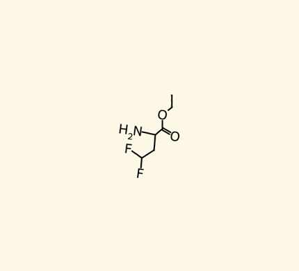 CCOC(=O)C(N)CC(F)F